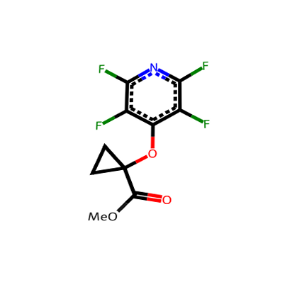 COC(=O)C1(Oc2c(F)c(F)nc(F)c2F)CC1